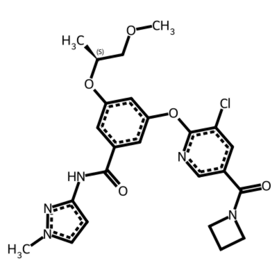 COC[C@H](C)Oc1cc(Oc2ncc(C(=O)N3CCC3)cc2Cl)cc(C(=O)Nc2ccn(C)n2)c1